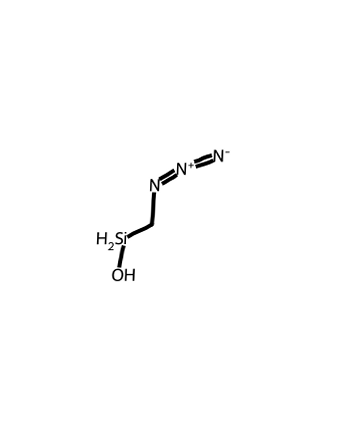 [N-]=[N+]=NC[SiH2]O